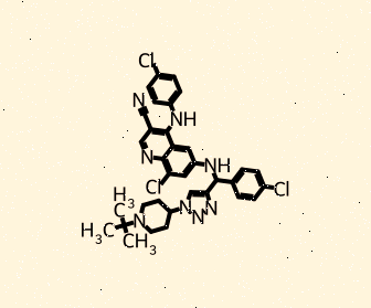 CC(C)(C)N1CCC(n2cc(C(Nc3cc(Cl)c4ncc(C#N)c(Nc5ccc(Cl)cc5)c4c3)c3ccc(Cl)cc3)nn2)CC1